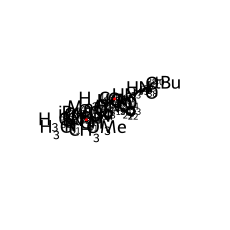 CC[C@H](C)[C@@H]([C@@H](CC(=O)N1CCCC1[C@H](OC)[C@@H](C)C(=O)N[C@@H](Cc1ccccc1)P(=O)(O)CC(=O)NCCCNC(=O)OC(C)(C)C)OC)N(C)C(=O)C(N=C(N(C)C)N(C)C)C(C)C